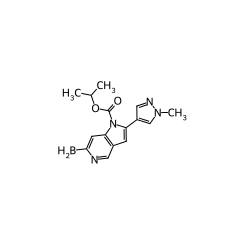 Bc1cc2c(cn1)cc(-c1cnn(C)c1)n2C(=O)OC(C)C